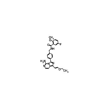 CCO/C=C/c1nc(-c2ccc(CNC(=O)c3cc(F)ccc3OC)cc2)n2c(N)nccc12